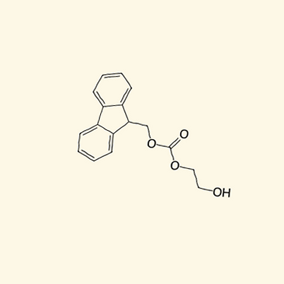 O=C(OCCO)OCC1c2ccccc2-c2ccccc21